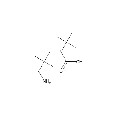 CC(C)(CN)CN(C(=O)O)C(C)(C)C